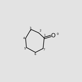 O=C1C[CH]CCCC1